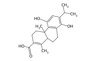 CC1=C(C(=O)O)CCC2(C)c3c(O)cc(C(C)C)c(O)c3CCC12